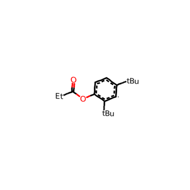 CCC(=O)Oc1ccc(C(C)(C)C)[c]c1C(C)(C)C